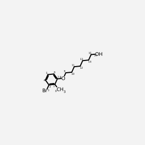 Cc1c(Br)cccc1OCCCCCCCO